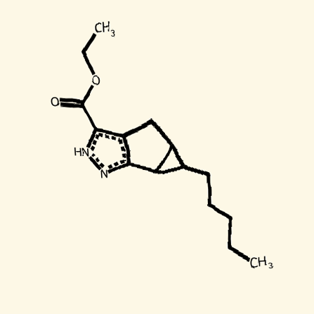 CCCCCC1C2Cc3c(n[nH]c3C(=O)OCC)C12